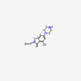 C=C1c2c(CC)cc(N3CCNCC3)cc2CN1C(C)CCC